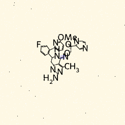 COc1cccc(-c2cc(F)ccc2C2Cc3nc(N)nc(C)c3/C(=N/OCC(=O)c3cnccn3)N2)n1